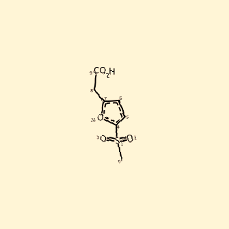 CS(=O)(=O)c1ccc(CC(=O)O)o1